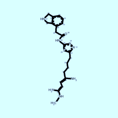 CN/C(N)=C/C=C(\N)CCCCc1nnc(NC(=O)Cc2cccc3c2CNC3)s1